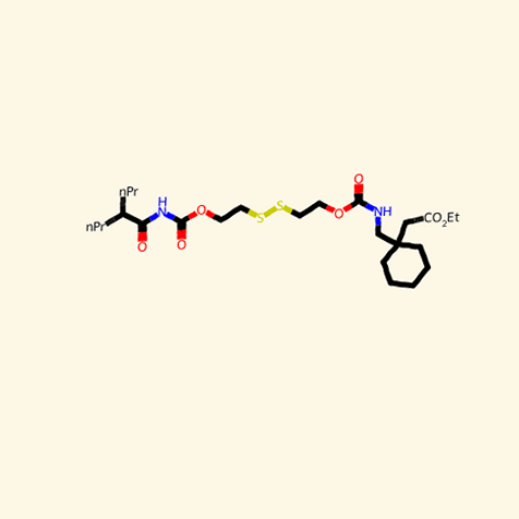 CCCC(CCC)C(=O)NC(=O)OCCSSCCOC(=O)NCC1(CC(=O)OCC)CCCCC1